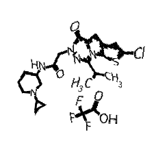 CC(C)c1nn(CC(=O)N[C@@H]2CCCN(C3CC3)C2)c(=O)c2cc3cc(Cl)sc3n12.O=C(O)C(F)(F)F